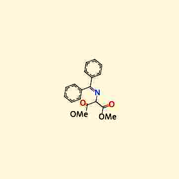 COC(=O)C(N=C(c1ccccc1)c1ccccc1)C(=O)OC